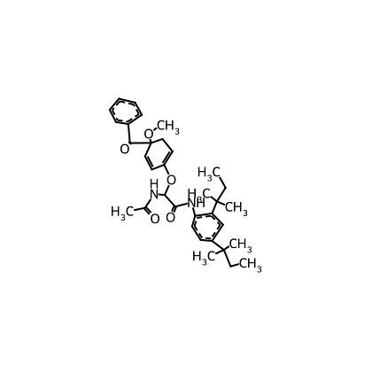 CCC(C)(C)c1ccc(NC(=O)C(NC(C)=O)OC2=CCC(OC)(C(=O)c3ccccc3)C=C2)c(C(C)(C)CC)c1